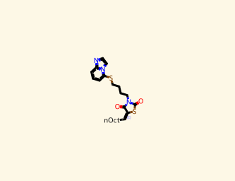 CCCCCCCC/C=C1/SC(=O)N(CCCCSc2cccc3nccn23)C1=O